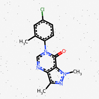 Cc1cc(Cl)ccc1-n1cnc2c(C)nn(C)c2c1=O